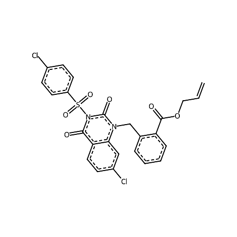 C=CCOC(=O)c1ccccc1Cn1c(=O)n(S(=O)(=O)c2ccc(Cl)cc2)c(=O)c2ccc(Cl)cc21